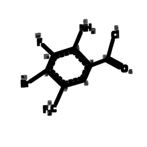 Nc1c(C(=O)Cl)cc(C(F)(F)F)c(Br)c1F